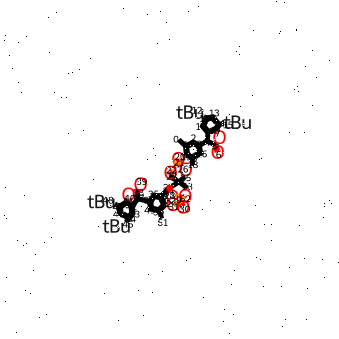 Cc1cc(C2C(=O)Oc3c2cc(C(C)(C)C)cc3C(C)(C)C)cc(C)c1OP1OCC2(CO1)COP(=O)(Oc1c(C)cc(C3C(=O)Oc4c3cc(C(C)(C)C)cc4C(C)(C)C)cc1C)OC2